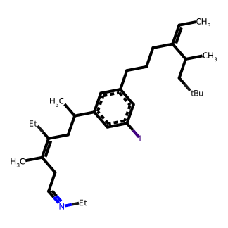 C/C=C(/CCCc1cc(I)cc(C(C)C/C(CC)=C(/C)C/C=N\CC)c1)C(C)CC(C)(C)C